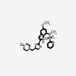 COc1cc(N(C)S(=O)(=O)c2ccccn2)c2[nH]c(C3=NCC(CN4CC[S+]([O-])CC4)S3)cc2c1